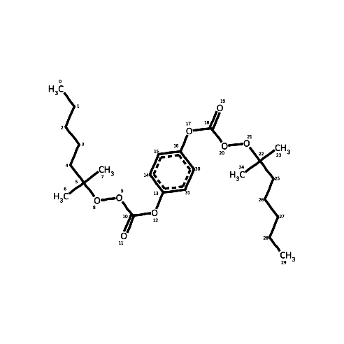 CCCCCC(C)(C)OOC(=O)Oc1ccc(OC(=O)OOC(C)(C)CCCCC)cc1